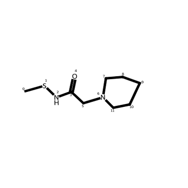 CSNC(=O)CN1CCCCC1